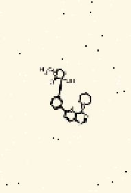 CN1CCC(O)(C#Cc2cccc(-c3ccc4ncnc(N5CCCCC5)c4n3)c2)C1=O